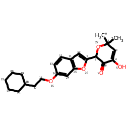 CC1(C)C=C(O)C(=O)C(c2cc3ccc(OCCC4CCCCC4)cc3o2)O1